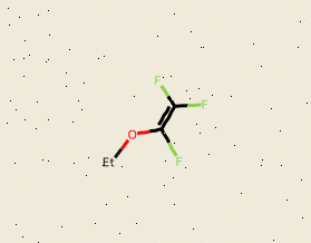 CCOC(F)=C(F)F